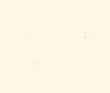 COc1ccc(CN)c2ocnc12